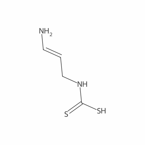 NC=CCNC(=S)S